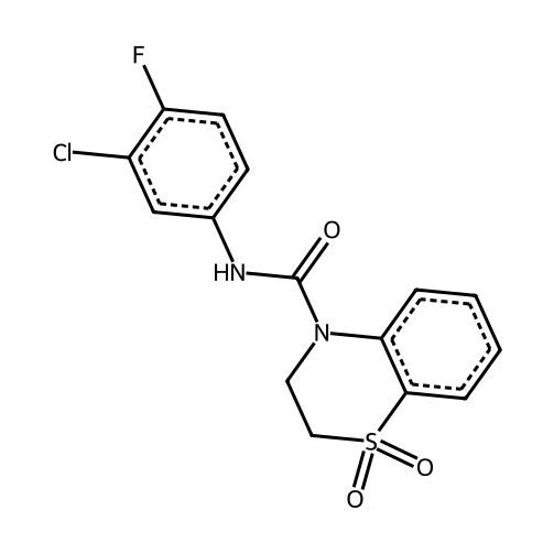 O=C(Nc1ccc(F)c(Cl)c1)N1CCS(=O)(=O)c2ccccc21